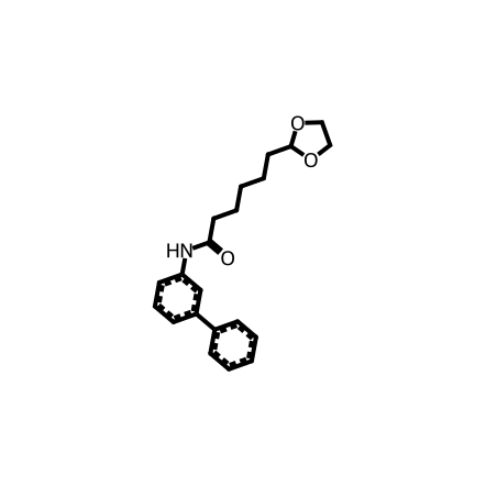 O=C(CCCCCC1OCCO1)Nc1cccc(-c2ccccc2)c1